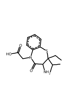 CCC1(C(C)C)Sc2ccccc2N(CC(=O)O)C(=O)C1N